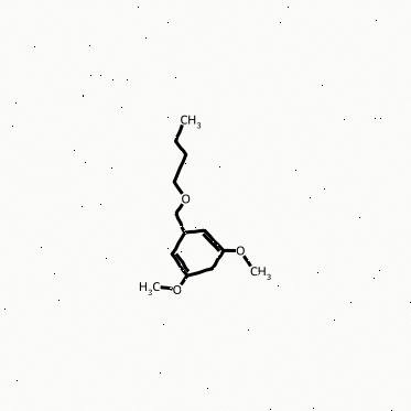 CCCCOCC1C=C(OC)CC(OC)=C1